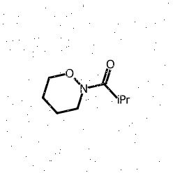 CC(C)C(=O)N1CCCCO1